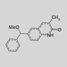 COC(c1ccccc1)c1ccc2[nH]c(=O)c(C)cc2c1